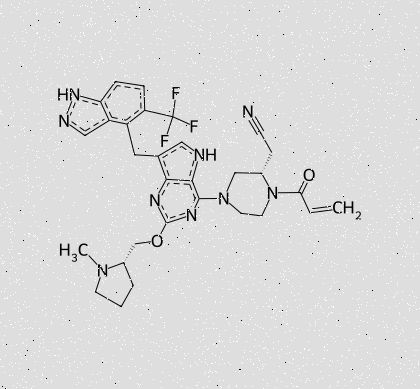 C=CC(=O)N1CCN(c2nc(OC[C@@H]3CCCN3C)nc3c(Cc4c(C(F)(F)F)ccc5[nH]ncc45)c[nH]c23)C[C@@H]1CC#N